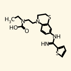 CCN(CCN1CCSc2cc(NC(=N)c3cccs3)ccc21)C(=O)O